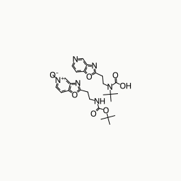 CC(C)(C)N(CCc1nc2cnccc2o1)C(=O)O.CC(C)(C)OC(=O)NCCc1nc2c[n+]([O-])ccc2o1